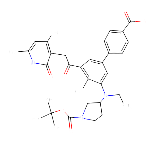 CCN(c1cc(-c2ccc(C(=O)O)cc2)cc(C(=O)Cc2c(C)cc(C)[nH]c2=O)c1C)C1CCN(C(=O)OC(C)(C)C)C1